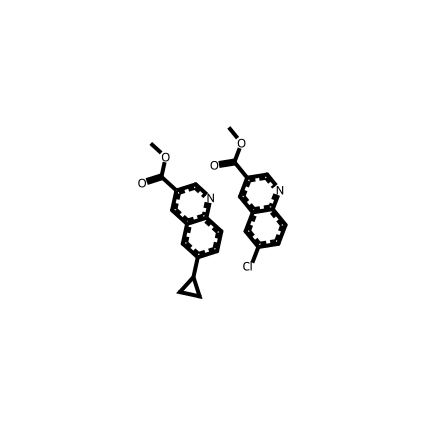 COC(=O)c1cnc2ccc(C3CC3)cc2c1.COC(=O)c1cnc2ccc(Cl)cc2c1